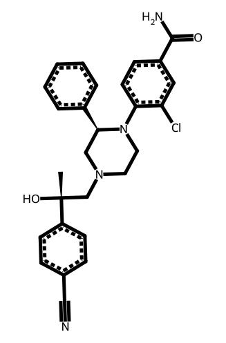 C[C@@](O)(CN1CCN(c2ccc(C(N)=O)cc2Cl)[C@H](c2ccccc2)C1)c1ccc(C#N)cc1